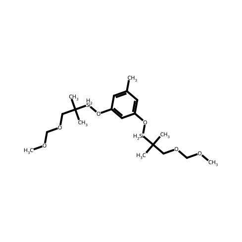 COCOCC(C)(C)[SiH2]Oc1cc(C)cc(O[SiH2]C(C)(C)COCOC)c1